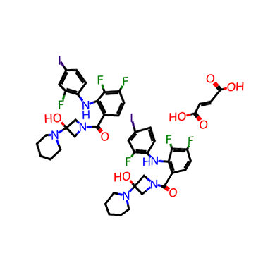 O=C(O)/C=C/C(=O)O.O=C(c1ccc(F)c(F)c1Nc1ccc(I)cc1F)N1CC(O)(N2CCCCC2)C1.O=C(c1ccc(F)c(F)c1Nc1ccc(I)cc1F)N1CC(O)(N2CCCCC2)C1